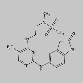 CN(CCNc1nc(Nc2ccc3c(c2)CC(=O)N3)ncc1C(F)(F)F)S(C)(=O)=O